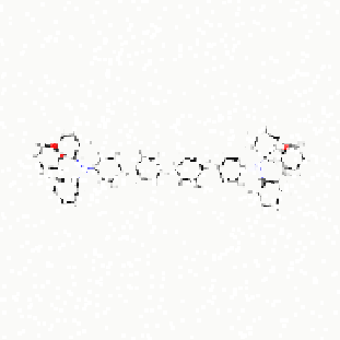 C1=C[C@H]2CC2(N(c2ccc(-c3ccc(-c4ccc(-c5ccc(N(c6ccccc6)c6ccccc6-c6ccccc6)cc5)cc4)cc3)cc2)c2ccccc2-c2ccccc2)C=C1